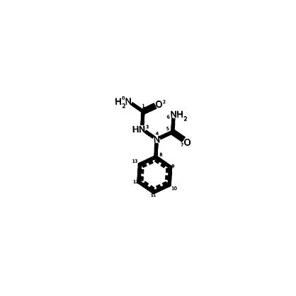 NC(=O)NN(C(N)=O)c1ccccc1